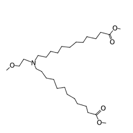 COCCN(CCCCCCCCCCCC(=O)OC)CCCCCCCCCCCC(=O)OC